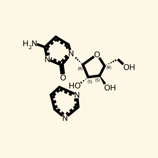 Nc1ccn([C@@H]2O[C@H](CO)[C@@H](O)[C@@H]2O)c(=O)n1.c1cncnc1